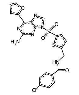 Nc1nc(-c2ccco2)c2ncn(S(=O)(=O)c3ccc(CNC(=O)c4ccc(Cl)cc4)s3)c2n1